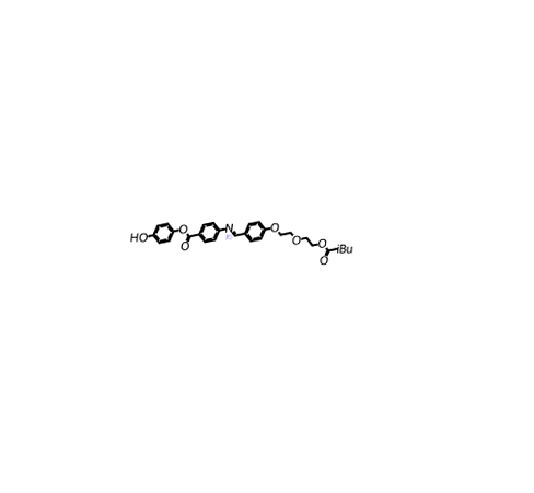 CCC(C)C(=O)OCCOCCOc1ccc(/C=N/c2ccc(C(=O)Oc3ccc(O)cc3)cc2)cc1